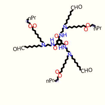 CCC/C=C\COC(=O)CCCCCCCCN(CCCCCCCCC=O)CCCNC(=O)c1cc(C(=O)NCCCN(CCCCCCCCC=O)CCCCCCCCC(=O)OC/C=C\CCC)cc(C(=O)NCCCN(CCCCCCCCC=O)CCCCCCCCC(=O)OC/C=C\CCC)c1